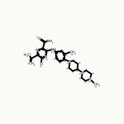 C=C(C)c1nc(C(N)=O)c(Nc2ccc(N3CCC(N4CCN(C)CC4)CC3)c(C)c2)nc1Cl